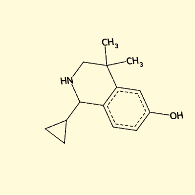 CC1(C)CNC(C2CC2)c2ccc(O)cc21